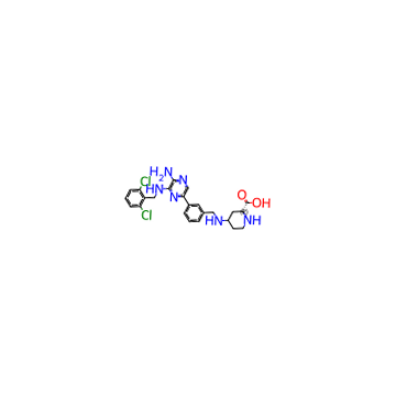 Nc1ncc(-c2cccc(CNC3CCN[C@@H](C(=O)O)C3)c2)nc1NCc1c(Cl)cccc1Cl